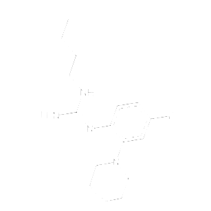 CCCCNC(N)=Nc1ccc(F)cc1N1CCOCC1